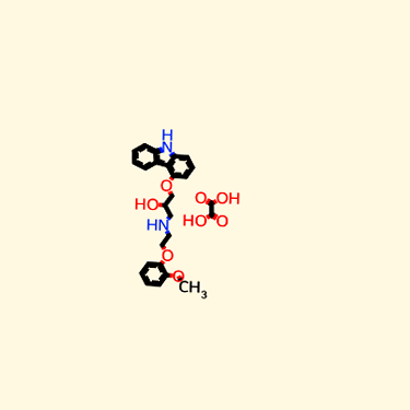 COc1ccccc1OCCNCC(O)COc1cccc2[nH]c3ccccc3c12.O=C(O)C(=O)O